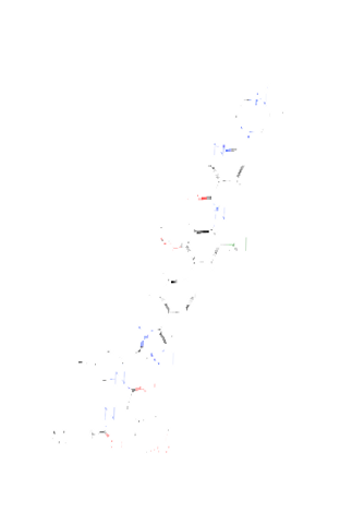 COC(=O)N[C@H](C(=O)N1C[C@@H](C)C[C@H]1c1nc(-c2ccc(-c3cc(Cl)c(NC(=O)c4ccc(N5CCN(C)C[C@H]5C)nc4)cc3OC(F)(F)F)cc2)c[nH]1)C1CCOCC1